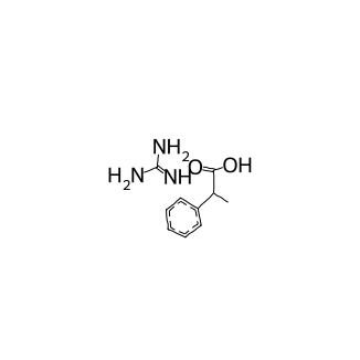 CC(C(=O)O)c1ccccc1.N=C(N)N